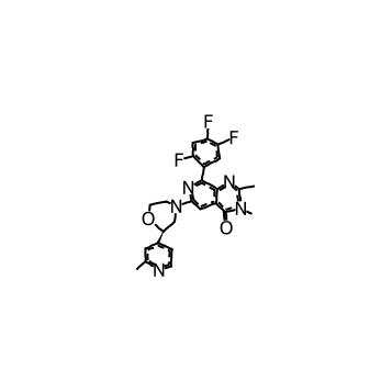 Cc1cc([C@@H]2CN(c3cc4c(=O)n(C)c(C)nc4c(-c4cc(F)c(F)cc4F)n3)CCO2)ccn1